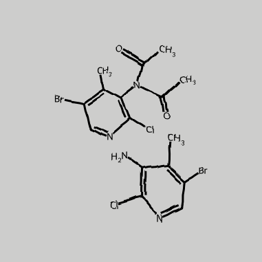 CC(=O)N(C(C)=O)c1c(Cl)ncc(Br)c1C.Cc1c(Br)cnc(Cl)c1N